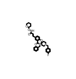 O=C(C=Cc1ccc2c(c1)C(=O)N(Cc1ccccc1)C1(CCN(Cc3ccc(F)cc3)CC1)O2)NOC1CCCCO1